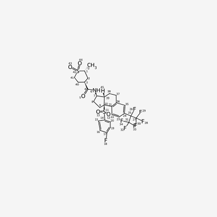 C[C@@H]1C[C@@H](C(=O)N[C@@H]2CC[C@@]3(S(=O)(=O)c4ccc(F)cc4)c4ccc(C(F)(C(F)(F)F)C(F)(F)F)cc4CC[C@@H]23)CCS1(=O)=O